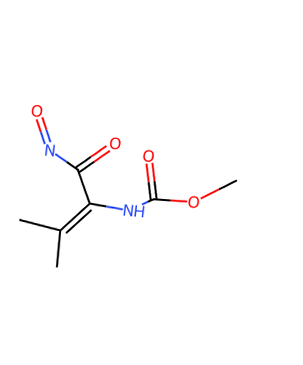 COC(=O)NC(C(=O)N=O)=C(C)C